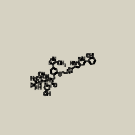 Cc1ncsc1-c1ccc(CNC(=O)[C@@H]2C[C@@H](O)CN2C(=O)[C@@H](NC(=O)C2(F)CC2)C(C)(C)C)c(OCCN2CC(c3cc4cc(-c5ccccc5O)nnc4[nH]3)C2)c1